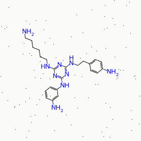 NCCCCCCNc1nc(NCCc2ccc(N)cc2)nc(Nc2cccc(N)c2)n1